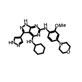 COc1cc(N2CCOCC2)ccc1Nc1nc(NC2CCCCC2)c2c(-c3cn[nH]c3)n[nH]c2n1